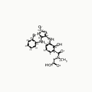 CN(CC(=O)O)C(=O)c1cccc(Nc2n[s+]([O-])nc2Nc2ccccc2Br)c1O